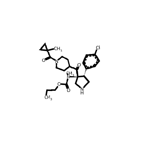 CCCOC(=O)N(C)[C@]1(C(=O)C2CCN(C(=O)C3(C)CC3)CC2)CNC[C@H]1c1ccc(Cl)cc1